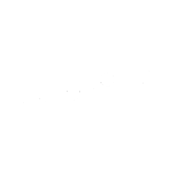 C=CC(=O)OCCc1ccc(OC(=O)c2ccc(CCCC(CCC)CCC)cc2)cc1